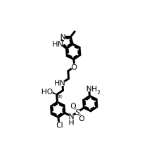 Cc1n[nH]c2cc(OCCNC[C@H](O)c3ccc(Cl)c(NS(=O)(=O)c4cccc(N)c4)c3)ccc12